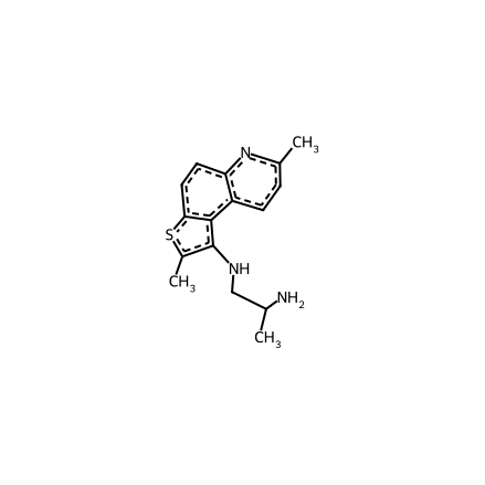 Cc1ccc2c(ccc3sc(C)c(NCC(C)N)c32)n1